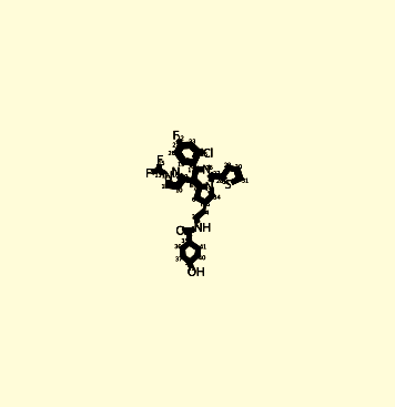 O=C(NCC[C@H]1CC2=C(c3ccn(C(F)F)n3)[C@H](c3ccc(F)cc3Cl)N=C(C3CC=CS3)N2C1)C1CCC(O)CC1